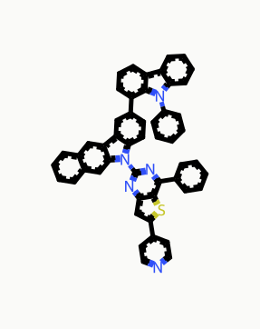 c1ccc(-c2nc(-n3c4ccc(-c5cccc6c7ccccc7n(-c7ccccc7)c56)cc4c4cc5ccccc5cc43)nc3cc(-c4ccncc4)sc23)cc1